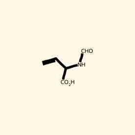 C=CC(NC=O)C(=O)O